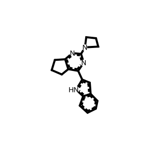 c1ccc2[nH]c(-c3nc(N4CCC4)nc4c3CCC4)cc2c1